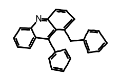 c1ccc(Cc2cccc3nc4ccccc4c(-c4ccccc4)c23)cc1